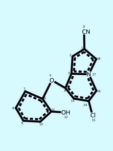 N#Cc1cc2c(Oc3ccccc3O)cc(Cl)cn2c1